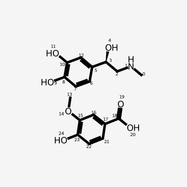 CNC[C@H](O)c1ccc(O)c(O)c1.COc1cc(C(=O)O)ccc1O